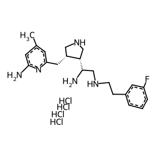 Cc1cc(N)nc(C[C@@H]2CNC[C@@H]2C(N)CNCCc2cccc(F)c2)c1.Cl.Cl.Cl.Cl